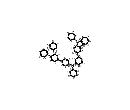 c1ccc(-c2ccc(-c3ccc(N(c4ccccc4)c4cccc(-c5ccc6c(c5)c5ccccc5n6-c5ccccc5)c4)cc3)cc2-c2ccccc2)cc1